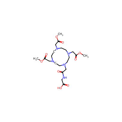 COC(=O)CN1CCN(CC(=O)NCC(=O)O)CCN(CC(=O)OC)CCN(CC(=O)OC)CC1